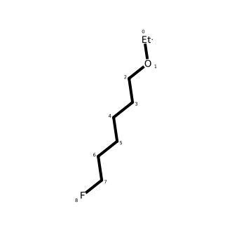 C[CH]OCCCCCCF